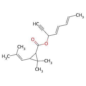 C#CC(C=CC=CC)OC(=O)C1C(C=C(C)C)C1(C)C